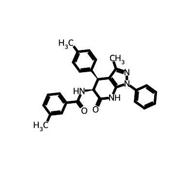 Cc1ccc([C@H]2c3c(C)nn(-c4ccccc4)c3NC(=O)[C@H]2NC(=O)c2cccc(C)c2)cc1